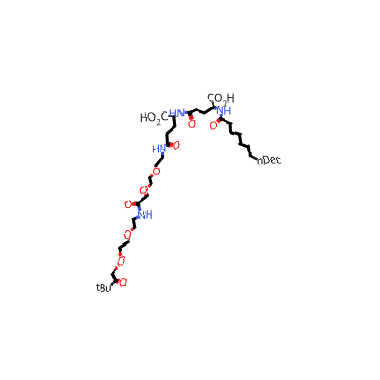 CCCCCCCCCCCCCCCCC(=O)N[C@@H](CCC(=O)N[C@@H](CCC(=O)NCCOCCOCC(=O)NCCOCCOCC(=O)C(C)(C)C)C(=O)O)C(=O)O